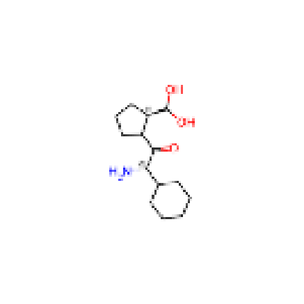 N[C@H](C(=O)C1CCC[C@H]1C(O)O)C1CCCCC1